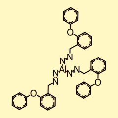 c1ccc(Oc2ccccc2CN=[N][Al]([N]=NCc2ccccc2Oc2ccccc2)[N]=NCc2ccccc2Oc2ccccc2)cc1